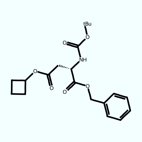 CC(C)(C)OC(=O)N[C@@H](CC(=O)OC1CCC1)C(=O)OCc1ccccc1